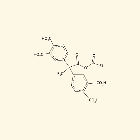 CCC(=O)OC(=O)C(c1ccc(C(=O)O)c(C(=O)O)c1)(c1ccc(C(=O)O)c(C(=O)O)c1)C(F)(F)F